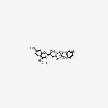 CNC(=O)c1ccc(O)cc1OC[C@@H](O)CN1CCC2(CC1)Cc1cc(F)ccc1O2